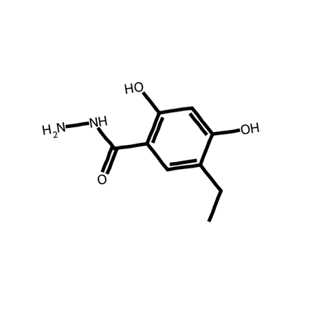 CCc1cc(C(=O)NN)c(O)cc1O